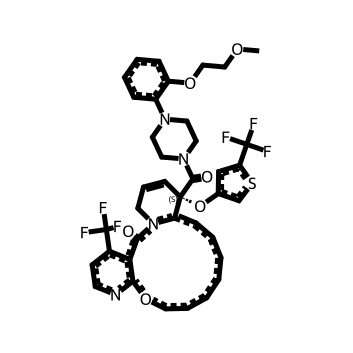 COCCOc1ccccc1N1CCN(C(=O)[C@]2(Oc3csc(C(F)(F)F)c3)C=CCn3c2cccccccoc2nccc(C(F)(F)F)c2c3=O)CC1